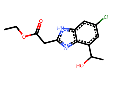 CCOC(=O)Cc1nc2c(C(C)O)cc(Cl)cc2[nH]1